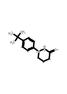 CC(C)(C)c1ccc(N2CCCC(=O)N2)cc1